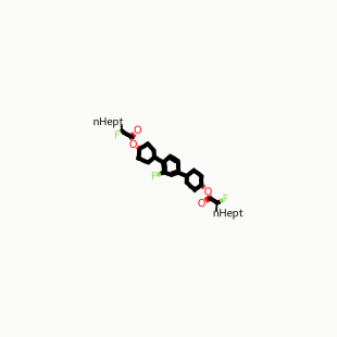 CCCCCCC[C@H](F)C(=O)OC1CCC(c2ccc(C3CCC(OC(=O)[C@@H](F)CCCCCCC)CC3)c(F)c2)CC1